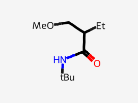 CCC(COC)C(=O)NC(C)(C)C